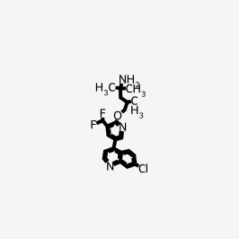 CC(COc1ncc(-c2ccnc3cc(Cl)ccc23)cc1C(F)F)CC(C)(C)N